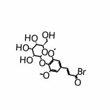 COc1cc(C=CC(=O)Br)cc(OC)c1O[C@@H]1O[C@H](CO)[C@@H](O)[C@H](O)[C@H]1O